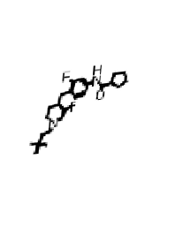 CC(C)(C)CCN1CCC(Cc2ccc(NC(=O)C3CCCC3)cc2F)C(F)C1